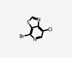 Clc1cnc(Br)c2scnc12